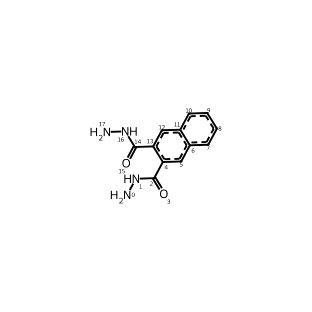 NNC(=O)c1cc2ccccc2cc1C(=O)NN